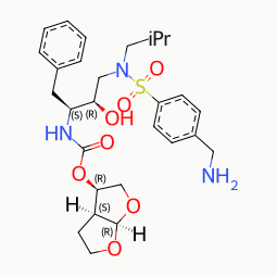 CC(C)CN(C[C@@H](O)[C@H](Cc1ccccc1)NC(=O)O[C@H]1CO[C@H]2OCC[C@H]21)S(=O)(=O)c1ccc(CN)cc1